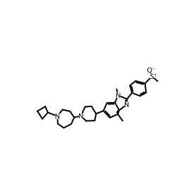 Cc1cc(C2CCN(C3CCCN(C4CCC4)CC3)CC2)cc2c1nc(-c1ccc([S+](C)[O-])cc1)n2C